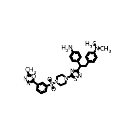 Cc1nnc(-c2cccc(S(=O)(=O)N3CCN(c4nc(C(Cc5ccc(N(C)C)cc5)c5ccc(N)cc5)ns4)CC3)c2)o1